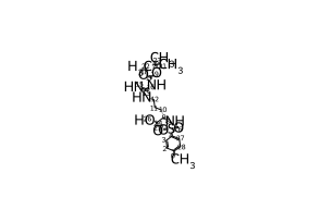 Cc1ccc(S(=O)(=O)N[C@@H](CCCNC(=N)NC(=O)OC(C)(C)C)C(=O)O)cc1